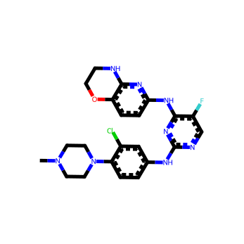 CN1CCN(c2ccc(Nc3ncc(F)c(Nc4ccc5c(n4)NCCO5)n3)cc2Cl)CC1